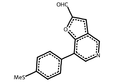 CSc1ccc(-c2cncc3cc(C=O)oc23)cc1